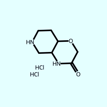 Cl.Cl.O=C1COC2CCNCC2N1